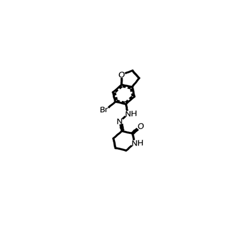 O=C1NCCC/C1=N/Nc1cc2c(cc1Br)OCC2